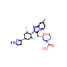 Cc1ccn2c(CC3CN(C(=O)O)CCO3)c(-c3c(F)cc(-c4cc[nH]n4)cc3F)nc2c1